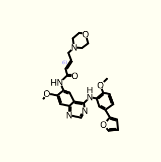 COc1cc2ncnc(Nc3cc(-c4ccco4)ccc3OC)c2cc1NC(=O)/C=C/CN1CCOCC1